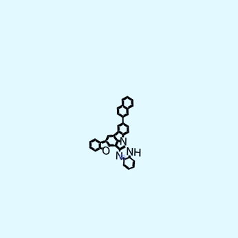 N=C1C=CC=C/C1=N/c1cn2c3ccc(-c4ccc5ccccc5c4)cc3c3cc4c5ccccc5oc4c1c32